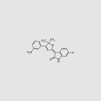 CC1(C)O/C(=C2/C(=O)Nc3cc(F)ccc32)C=C1c1cccc(N)c1